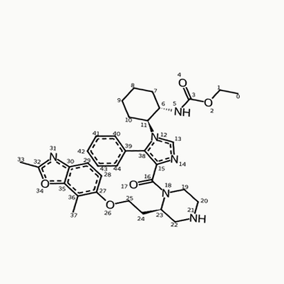 CCOC(=O)N[C@H]1CCCC[C@@H]1n1cnc(C(=O)N2CCNC[C@H]2CCOc2ccc3nc(C)oc3c2C)c1-c1ccccc1